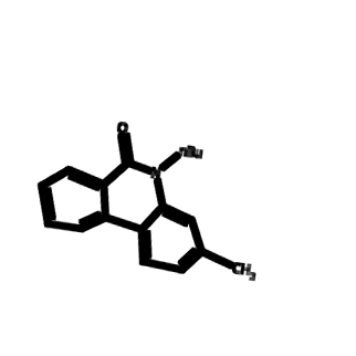 CCCCn1c(=O)c2ccccc2c2ccc(C)cc21